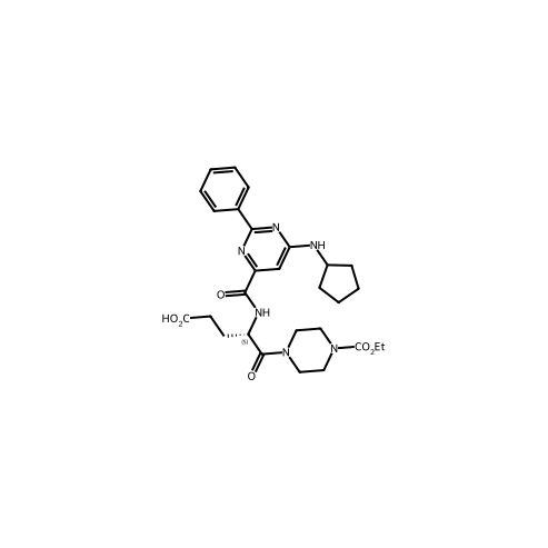 CCOC(=O)N1CCN(C(=O)[C@H](CCC(=O)O)NC(=O)c2cc(NC3CCCC3)nc(-c3ccccc3)n2)CC1